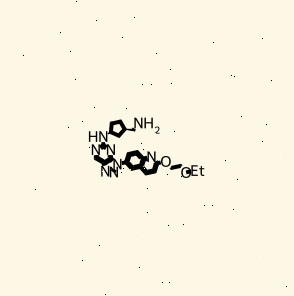 CCOCCOc1ccc2cc(-n3nnc4cnc(N[C@@H]5CC[C@@H](CN)C5)nc43)ccc2n1